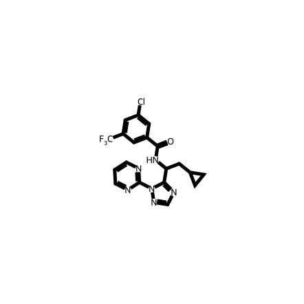 O=C(NC(CC1CC1)c1ncnn1-c1ncccn1)c1cc(Cl)cc(C(F)(F)F)c1